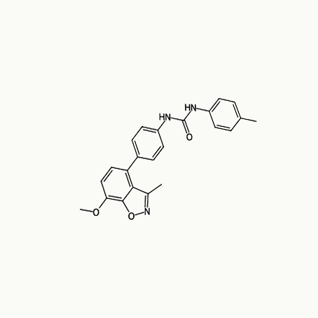 COc1ccc(-c2ccc(NC(=O)Nc3ccc(C)cc3)cc2)c2c(C)noc12